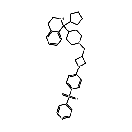 O=S(=O)(c1ccncc1)c1ccc(N2CC(CN3CCC(C4(C5CCCC5)NCCc5ccccc54)CC3)C2)cc1